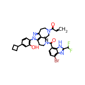 C=CC(=O)N1CCc2nn(-c3ccc(C4CCC4)cc3O)c3c2[C@H](C1)N(C(=O)c1ccc(Br)c2nc(C(F)F)[nH]c12)CC3